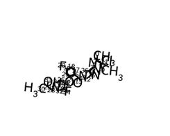 Cc1nc2c3c(nn2c(C)c1Cl)CN(C(=O)c1ccc(F)cc1O[C@H]1CCN(CC(C)O)C[C@@H]1F)C3